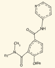 CCN(C)C(=O)c1cc(C(=O)Nc2cccnc2)ccc1OC